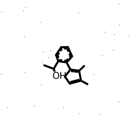 CC1=CCC(c2ccccc2C(C)O)=C1C